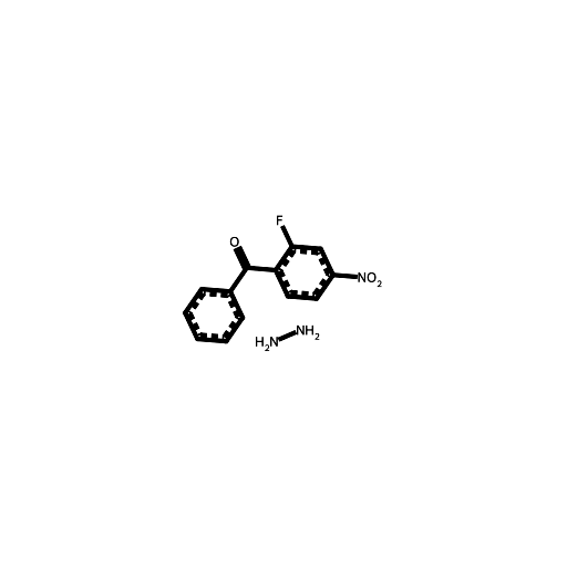 NN.O=C(c1ccccc1)c1ccc([N+](=O)[O-])cc1F